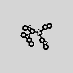 c1ccc2cc(-c3nc(-c4cc(-n5c6ccccc6c6cc7ccccc7cc65)c5c(c4)oc4ccccc45)nc(-c4ccc5c(c4)sc4ccccc45)n3)ccc2c1